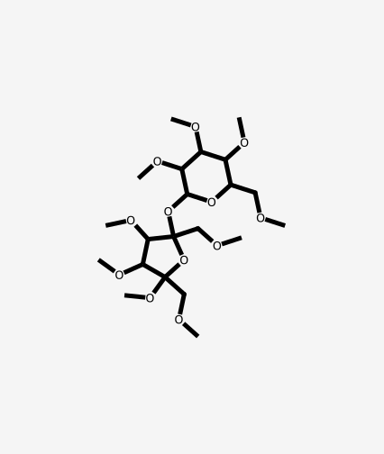 COCC1OC(OC2(COC)OC(COC)(OC)C(OC)C2OC)C(OC)C(OC)C1OC